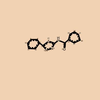 O=C(Nc1nnc(-c2ccccc2)s1)c1ccccc1